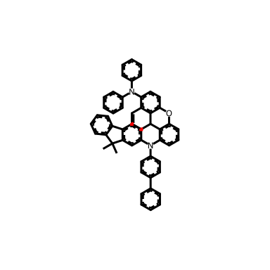 CC1(C)c2ccccc2-c2ccc(N(c3ccc(-c4ccccc4)cc3)c3cccc4c3C3CC=Cc5c(N(c6ccccc6)c6ccccc6)ccc(c53)O4)cc21